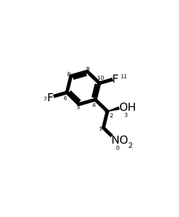 O=[N+]([O-])C[C@H](O)c1cc(F)ccc1F